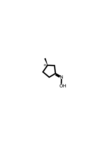 C[C@@H]1CCC(=NO)C1